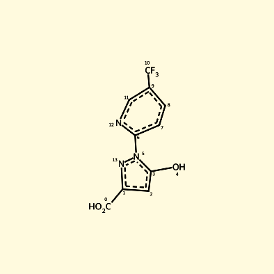 O=C(O)c1cc(O)n(-c2ccc(C(F)(F)F)cn2)n1